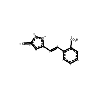 O=C(O)c1ccccc1C=Cc1cc(=S)ss1